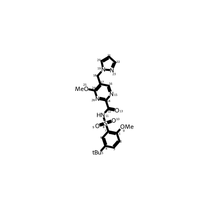 COc1ccc(C(C)(C)C)cc1S(=O)(=O)NC(=O)c1ncc(Cn2cccn2)c(OC)n1